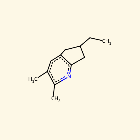 CCC1Cc2cc(C)c(C)nc2C1